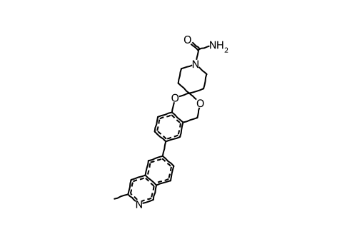 Cc1cc2cc(-c3ccc4c(c3)COC3(CCN(C(N)=O)CC3)O4)ccc2cn1